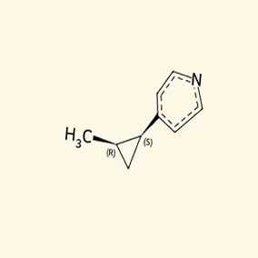 C[C@@H]1C[C@@H]1c1ccncc1